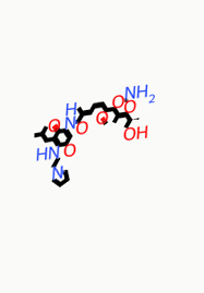 CO[C@@H](/C=C\C=C(/C)C(=O)NC1=CC(=O)C(NCCN2CCCC2)=C(CC(C)C)C1=O)[C@@H](OC(N)=O)/C(C)=C/[C@H](C)CO